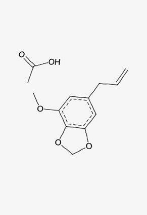 C=CCc1cc(OC)c2c(c1)OCO2.CC(=O)O